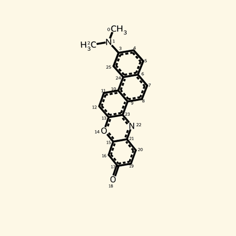 CN(C)c1ccc2ccc3c(ccc4oc5cc(=O)ccc-5nc43)c2c1